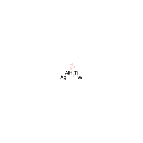 B.[Ag].[AlH3].[Ti].[W]